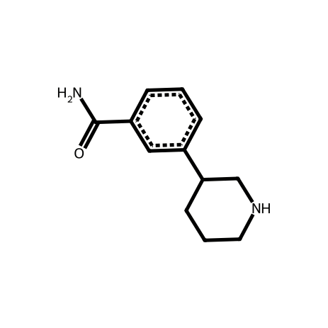 NC(=O)c1cccc(C2CCCNC2)c1